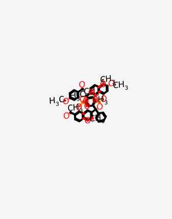 COc1ccc(C(C)=O)c(OP(Oc2cc(OC)ccc2C(C)=O)Oc2ccccc2C(OP(Oc2cc(OC)ccc2C(C)=O)Oc2cc(OC)ccc2C(C)=O)(c2ccccc2)c2ccccc2)c1